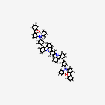 c1ccc(N(c2ccc(-c3cccc4c3c3cccc5c6cc7c(cc6n4c53)c3cccc4c5c(-c6ccc(N(c8ccccc8)c8cccc9c8oc8ccccc89)cc6)cccc5n7c34)cc2)c2cccc3c2oc2ccccc23)cc1